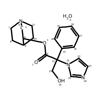 O.O=C(OC1CN2CCC1CC2)C(CO)(c1ccccc1)n1ccnc1